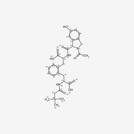 CC(=O)N1Cc2ccc(O)cc2C1C(=O)NC(Cc1ccccc1CC(NC(=O)CC(C)(C)C)C(=O)O)C(=O)O